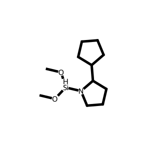 CO[SiH](OC)N1CCCC1C1CCCC1